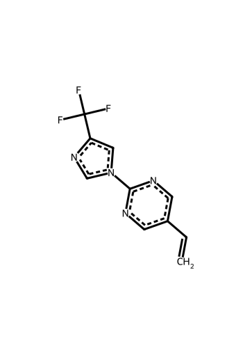 C=Cc1cnc(-n2cnc(C(F)(F)F)c2)nc1